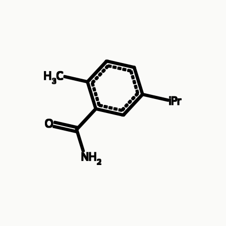 Cc1ccc(C(C)C)cc1C(N)=O